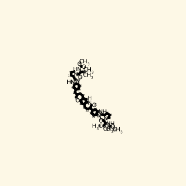 COC(=O)NC(C(=O)N1CCCC1c1nc2ccc(CC3CCc4cc5c(cc4OC3)CCC(c3ccc4nc(C6CCCN6C(=O)C(NC(=O)OC)C(C)C)[nH]c4c3)C(=O)N5)cc2[nH]1)C(C)C